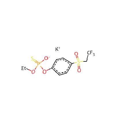 CCOP([O-])(=S)Oc1ccc(S(=O)(=O)CC(F)(F)F)cc1.[K+]